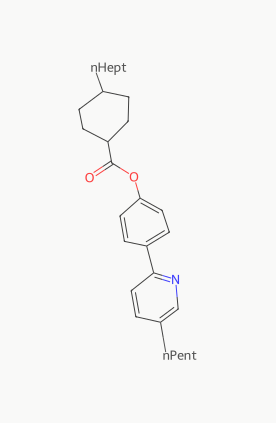 CCCCCCCC1CCC(C(=O)Oc2ccc(-c3ccc(CCCCC)cn3)cc2)CC1